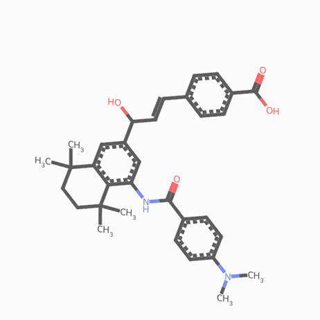 CN(C)c1ccc(C(=O)Nc2cc(C(O)C=Cc3ccc(C(=O)O)cc3)cc3c2C(C)(C)CCC3(C)C)cc1